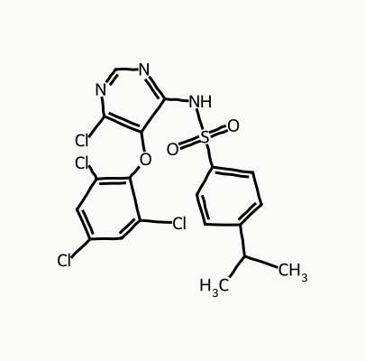 CC(C)c1ccc(S(=O)(=O)Nc2ncnc(Cl)c2Oc2c(Cl)cc(Cl)cc2Cl)cc1